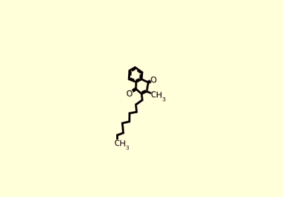 CCCCCCCCCC1=C(C)C(=O)c2ccccc2C1=O